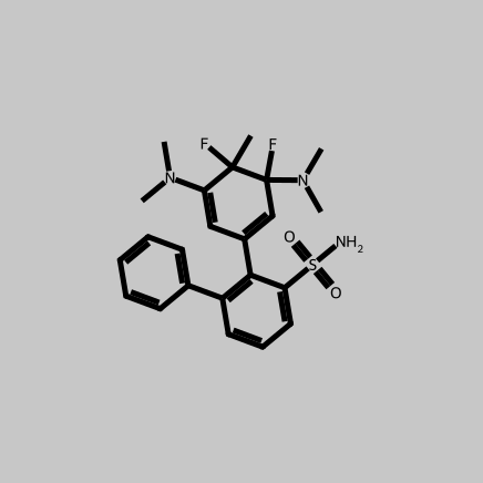 CN(C)C1=CC(c2c(-c3ccccc3)cccc2S(N)(=O)=O)=CC(F)(N(C)C)C1(C)F